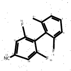 Cc1[c]ccc(F)c1-c1c(F)cc(C#N)cc1F